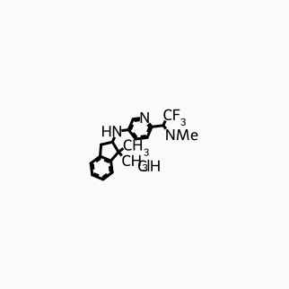 CNC(c1ccc(NC2Cc3ccccc3C2(C)C)cn1)C(F)(F)F.Cl